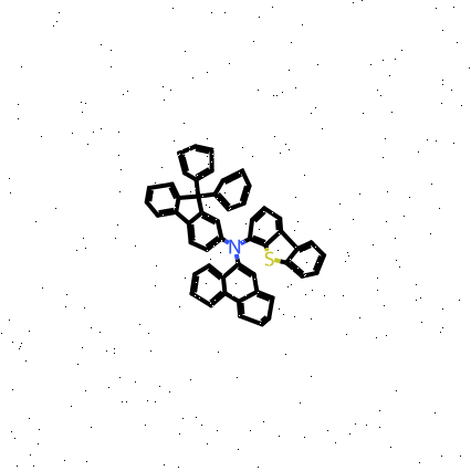 c1ccc(C2(c3ccccc3)c3ccccc3-c3ccc(N(c4cc5ccccc5c5ccccc45)c4cccc5c4sc4ccccc45)cc32)cc1